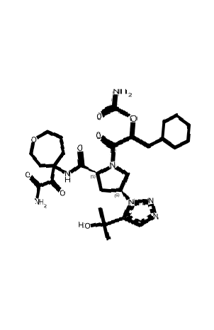 CC(C)(O)c1cnnn1[C@H]1C[C@@H](C(=O)NC2(C(=O)C(N)=O)CCCOCC2)N(C(=O)C(CC2CCCCC2)OC(N)=O)C1